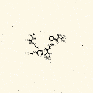 CCOC(=O)[C@H](CCCNC(=N)N[N+](=O)[O-])NC(=O)[C@@H]1CCCN1C(=O)CNC(=O)[C@@H]1CCCN1C(=O)[C@@H](N)C(C)C.Cl